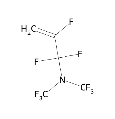 C=C(F)C(F)(F)N(C(F)(F)F)C(F)(F)F